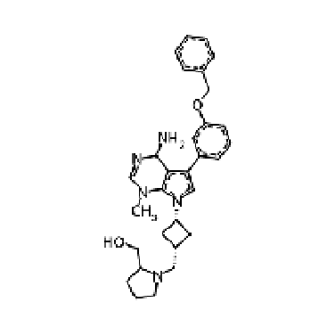 CN1C=N[C@@H](N)c2c(-c3cccc(OCc4ccccc4)c3)cn([C@H]3C[C@@H](CN4CCCC4CO)C3)c21